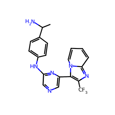 CC(N)c1ccc(Nc2cncc(-c3c(C(F)(F)F)nc4ccccn34)n2)cc1